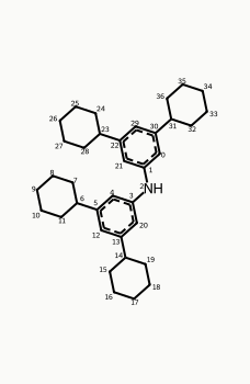 c1c(Nc2cc(C3CCCCC3)cc(C3CCCCC3)c2)cc(C2CCCCC2)cc1C1CCCCC1